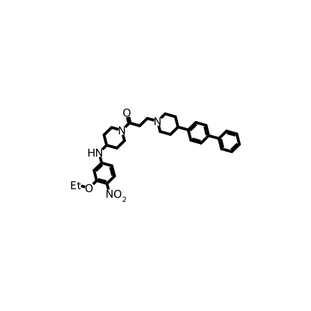 CCOc1cc(NC2CCN(C(=O)CCN3CCC(c4ccc(-c5ccccc5)cc4)CC3)CC2)ccc1[N+](=O)[O-]